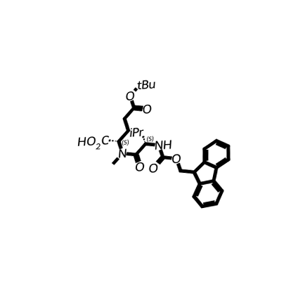 CC(C)[C@H](NC(=O)OCC1c2ccccc2-c2ccccc21)C(=O)N(C)[C@@H](CCC(=O)OC(C)(C)C)C(=O)O